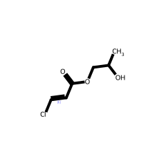 CC(O)COC(=O)/C=C/Cl